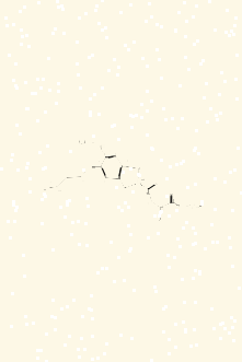 COC(=O)C(C)CC(=O)N1Cc2cc(OC)c(OCCCBr)cc2C1